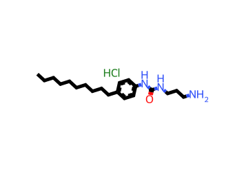 CCCCCCCCCCc1ccc(NC(=O)NCCCN)cc1.Cl